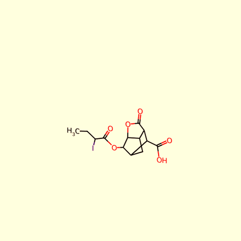 CCC(I)C(=O)OC1C2CC3C1OC(=O)C3C2C(=O)O